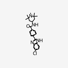 CN1C(C)(C)CC(NC(=O)c2ccc(-c3nc4cc(Cl)ccc4[nH]3)cc2)CC1(C)C